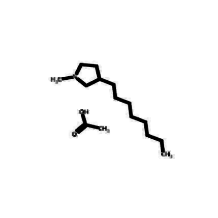 CC(=O)O.CCCCCCCCC1CCN(C)C1